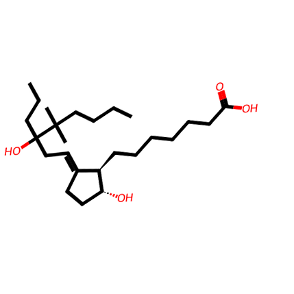 CCCCC(C)(C)C(O)(CC=C1CC[C@@H](O)[C@@H]1CCCCCCC(=O)O)CCC